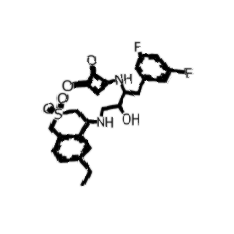 CCc1ccc2c(c1)C(NCC(O)C(Cc1cc(F)cc(F)c1)Nc1cc(=O)c1=O)CS(=O)(=O)C2